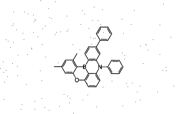 Cc1cc(C)c2c(c1)Oc1cccc3c1B2c1ccc(-c2ccccc2)cc1N3c1ccccc1